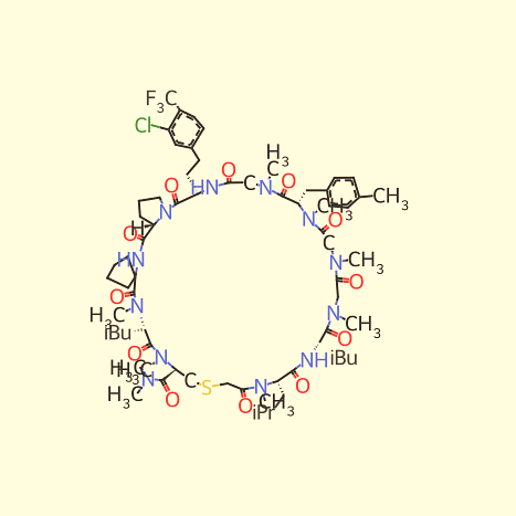 CC[C@H](C)[C@@H]1NC(=O)[C@H](CC(C)C)N(C)C(=O)CSC[C@@H](C(=O)N(C)C)N(C)C(=O)[C@H]([C@@H](C)CC)N(C)C(=O)C2(CCCC2)NC(=O)[C@@H]2CCCN2C(=O)[C@H](CCc2ccc(C(F)(F)F)c(Cl)c2)NC(=O)CN(C)C(=O)[C@H](Cc2ccc(C)cc2)N(C)C(=O)CN(C)C(=O)CN(C)C1=O